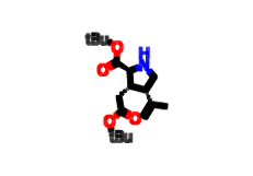 C=C(C)[C@H]1CN[C@H](C(=O)OC(C)(C)C)[C@H]1CC(=O)OC(C)(C)C